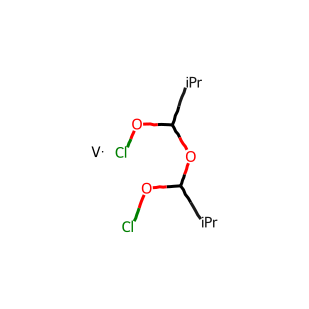 CC(C)C(OCl)OC(OCl)C(C)C.[V]